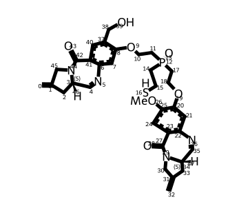 C=C1C[C@H]2C=Nc3cc(OCCP(=O)(CCS)CCOc4cc5c(cc4OC)C(=O)N4CC(=C)C[C@H]4C=N5)c(CO)cc3C(=O)N2C1